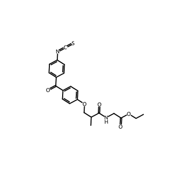 CCOC(=O)CNC(=O)C(C)COc1ccc(C(=O)c2ccc(N=C=S)cc2)cc1